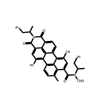 Cc1ccc2c3c(C#N)cc4c5c(ccc(c6c(C#N)cc(C(=O)N(C=O)C(C)CC(C)C)c1c26)c53)C(=O)N(C(C)CC(C)C)C4=O